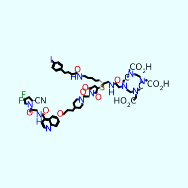 N#C[C@H]1CC(F)(F)CN1C(=O)CNC(=O)c1ccnc2ccc(OCCCC3CCN(C(=O)CN4C(=O)CC(S[C@H](CCCCCNC(=O)CCCc5ccc(I)cc5)CNC(=O)CN5CCN(CC(=O)O)CCN(CC(=O)O)CCN(CC(=O)O)CC5)C4=O)CC3)cc12